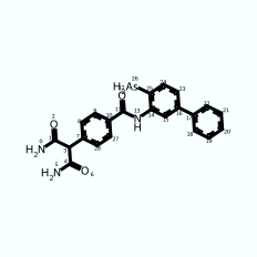 NC(=O)C(C(N)=O)c1ccc(C(=O)Nc2cc(-c3ccccc3)ccc2[AsH2])cc1